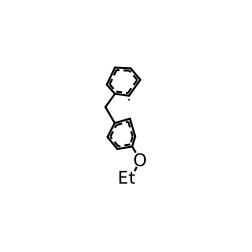 CCOc1ccc(Cc2[c]cccc2)cc1